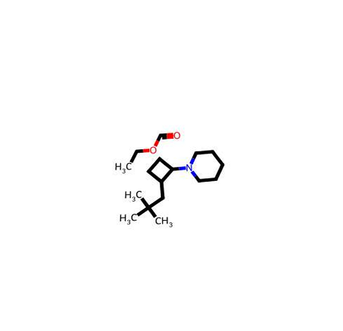 CC(C)(C)CC1CCC1N1CCCCC1.CCOC=O